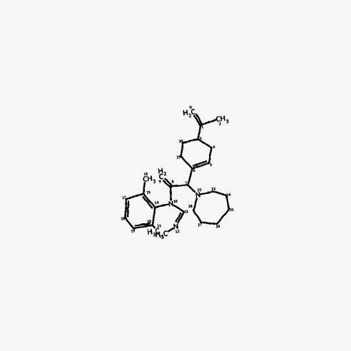 C=C(C)C1CC=C(C(C(=C)N(/C=N\C)c2c(C)cccc2C)N2CCCCCC2)CC1